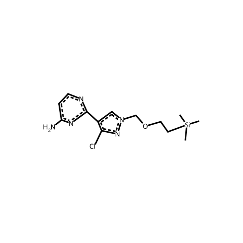 C[Si](C)(C)CCOCn1cc(-c2nccc(N)n2)c(Cl)n1